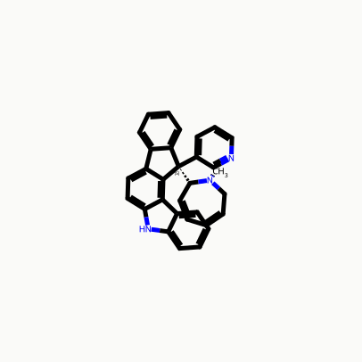 CN1CC=CC=CC1[C@@]1(c2cccnc2)c2ccccc2-c2ccc3[nH]c4ccccc4c3c21